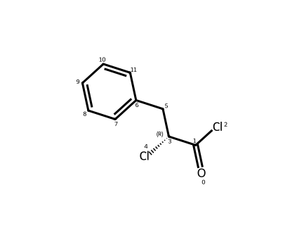 O=C(Cl)[C@H](Cl)Cc1ccccc1